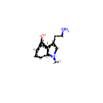 CC(=O)n1cc(CCN)c2c(O)cccc21